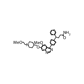 COCCN1CCC(COc2cc3ncnc(-c4ccc(C(CCC(N)=O)c5ccccc5)cc4)c3cc2OC)CC1